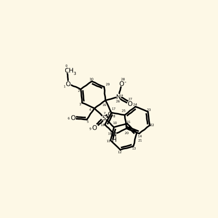 COC1=CC(C=O)(S(=O)(=O)c2ccccc2)C(c2c[nH]c3ccccc23)([N+](=O)[O-])C=C1